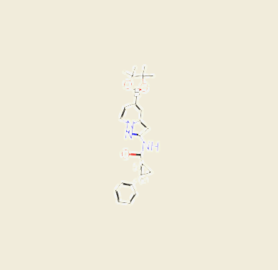 CC1(C)OB(c2ccn3nc(NC(=O)[C@H]4C[C@@H]4c4ccccc4)cc3c2)OC1(C)C